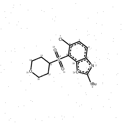 CC(C)(C)c1nc2ccc(Cl)c(S(=O)(=O)C3CCOCC3)c2o1